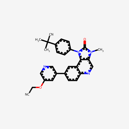 Cn1c(=O)n(-c2ccc(C(C)(C)C#N)cc2)c2c3cc(-c4cncc(OCC#N)c4)ccc3ncc21